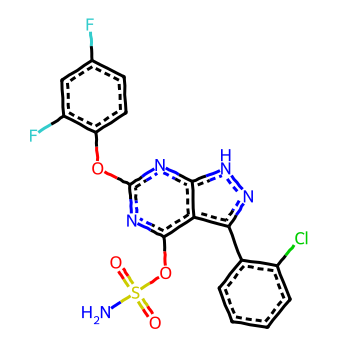 NS(=O)(=O)Oc1nc(Oc2ccc(F)cc2F)nc2[nH]nc(-c3ccccc3Cl)c12